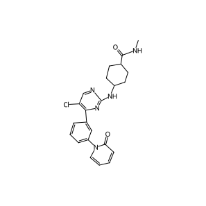 CNC(=O)C1CCC(Nc2ncc(Cl)c(-c3cccc(-n4ccccc4=O)c3)n2)CC1